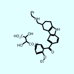 CCOc1ccccc1C(=O)c1ccc2[nH]c3c(c2c1)CC(CNCC(C)C)CC3.O=C(O)C(O)C(O)C(=O)O